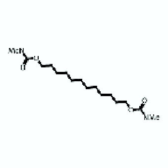 CNC(=O)OCCCCCCCCCCCCOC(=O)NC